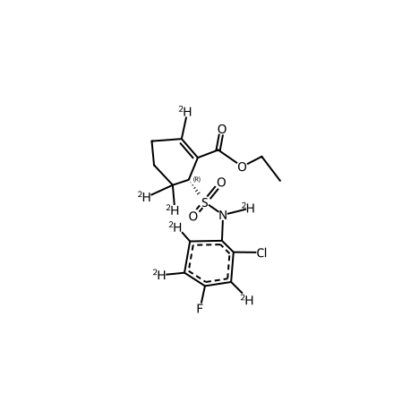 [2H]C1=C(C(=O)OCC)[C@H](S(=O)(=O)N([2H])c2c([2H])c([2H])c(F)c([2H])c2Cl)C([2H])([2H])CC1